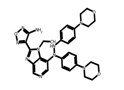 CCn1c(-c2nonc2N)nc2cncc(N(Nc3ccc(N4CCOCC4)cc3)c3ccc(N4CCOCC4)cc3)c21